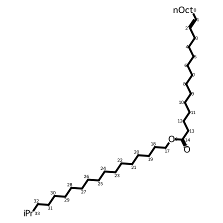 CCCCCCCCC=CCCCCCCCCCCCC(=O)OCCCCCCCCCCCCCCCCC(C)C